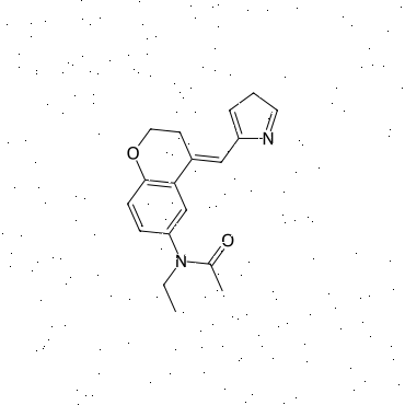 CCN(C(C)=O)c1ccc2c(c1)/C(=C/C1=CCC=N1)CCO2